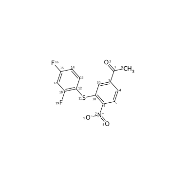 CC(=O)c1ccc([N+](=O)[O-])c(Sc2ccc(F)cc2F)c1